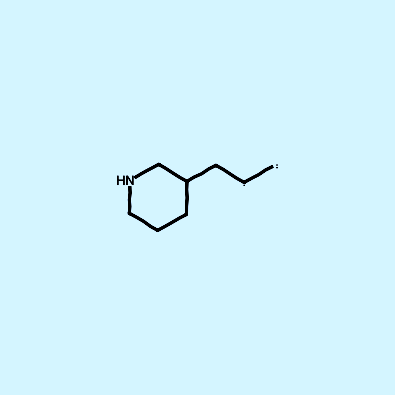 [CH][CH]CC1CCCNC1